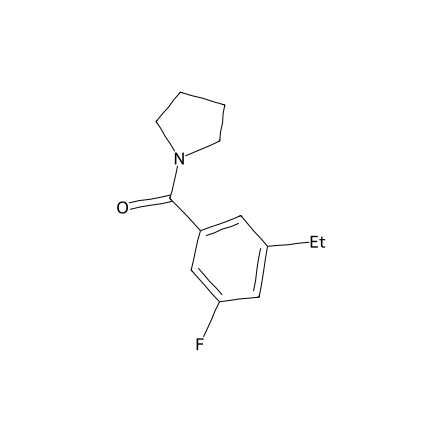 CCc1cc(F)cc(C(=O)N2CCCC2)c1